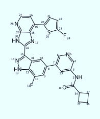 O=C(Nc1cncc(-c2cc(F)c3[nH]nc(-c4nc5c(-c6ccc(F)s6)ccnc5[nH]4)c3c2)c1)C1CCC1